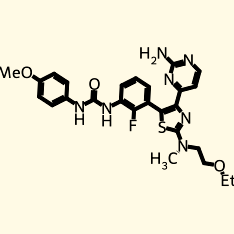 CCOCCN(C)c1nc(-c2ccnc(N)n2)c(-c2cccc(NC(=O)Nc3ccc(OC)cc3)c2F)s1